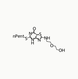 CCCCCSc1nc(=O)c2sc(NCCOCCO)nc2[nH]1